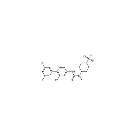 CN(C(=O)Nc1cnc(-c2cc(F)cc(F)c2)c(Cl)c1)C1CCN(S(C)(=O)=O)CC1